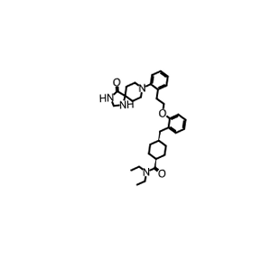 CCN(CC)C(=O)[C@H]1CC[C@@H](Cc2ccccc2OCCc2ccccc2N2CCC3(CC2)NCNC3=O)CC1